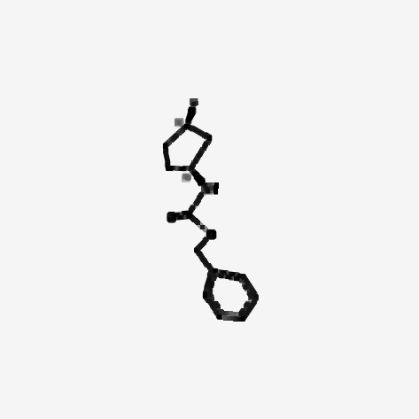 O=C(N[C@H]1CC[C@@H](F)C1)OCc1ccccc1